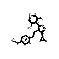 OCC12CCC(/C=C/c3c(-c4c(Cl)cncc4Cl)noc3C3CC3)(CC1)OC2